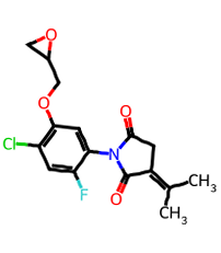 CC(C)=C1CC(=O)N(c2cc(OCC3CO3)c(Cl)cc2F)C1=O